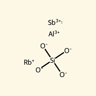 [Al+3].[O-][Si]([O-])([O-])[O-].[Rb+].[Sb+3]